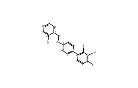 Cc1ccc(-c2ccc(OCc3ccccc3F)cc2)c(F)c1F